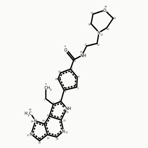 CCc1c(-c2ccc(C(=O)NCCN3CCOCC3)cc2)[nH]c2ncc3cnn(C)c3c12